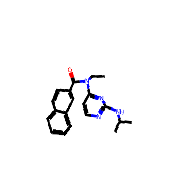 CCN(C(=O)c1ccc2ccccc2c1)c1ccnc(NC(C)C)n1